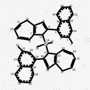 Cc1cc(C2=CC3=C(C=CC=CC3)C2[Si](C)(C)C2C(c3cc(C)cc4ccccc34)=CC3=C2C=CC=CC3)c2ccccc2c1